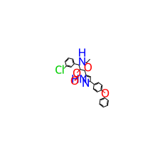 CC(=O)NC(c1cccc(Cl)c1)C(Cc1cc(-c2ccc(Oc3ccccc3)cc2)n[nH]1)OC=O